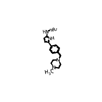 CCCCNc1ccc(-c2ccc(CN3CCN(C)CC3)cc2)[nH]1